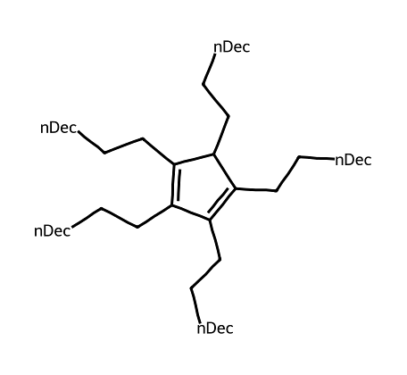 CCCCCCCCCCCCC1=C(CCCCCCCCCCCC)C(CCCCCCCCCCCC)C(CCCCCCCCCCCC)=C1CCCCCCCCCCCC